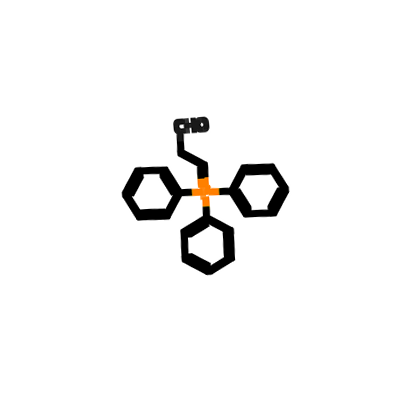 O=CCC=P(c1ccccc1)(c1ccccc1)c1ccccc1